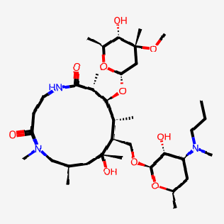 CCCN(C)[C@H]1C[C@@H](C)O[C@@H](OC[C@@H]2[C@@H](C)[C@H](O[C@H]3C[C@@](C)(OC)[C@@H](O)[C@H](C)O3)[C@@H](C)C(=O)NCCC(=O)N(C)C[C@H](C)C[C@@]2(C)O)[C@@H]1O